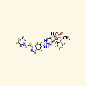 CN(c1ccccc1-c1ccc2cnc(Nc3ccc4c(cnn4CCN4CCOCC4)c3)nn12)S(C)(=O)=O